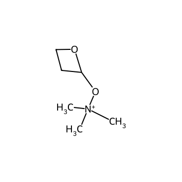 C[N+](C)(C)OC1CCO1